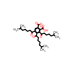 CC(C)CCCCC(=O)c1cc(C(=O)O)c(C(=O)O)c(C(=O)CCCCC(C)C)c1C(=O)CCCCC(C)C